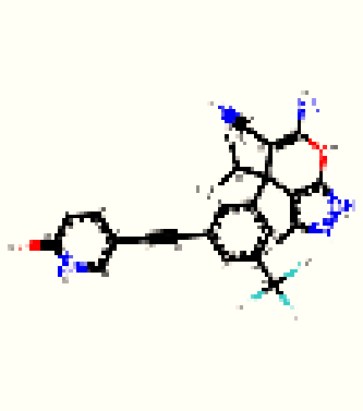 Cc1n[nH]c2c1C(c1cc(C#Cc3ccc(=O)[nH]c3)cc(C(F)(F)F)c1)(C(C)C)C(C#N)=C(N)O2